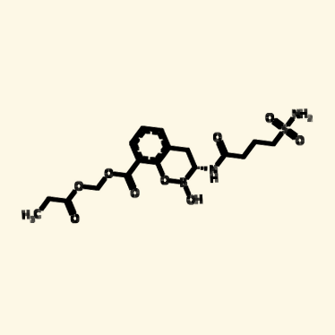 CCC(=O)OCOC(=O)c1cccc2c1OB(O)[C@@H](NC(=O)CCCS(N)(=O)=O)C2